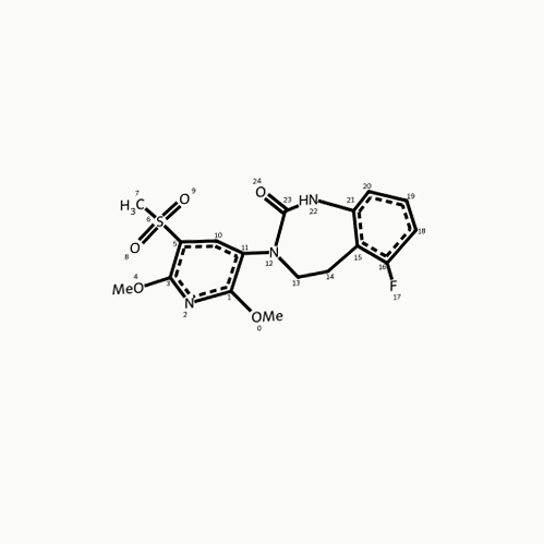 COc1nc(OC)c(S(C)(=O)=O)cc1N1CCc2c(F)cccc2NC1=O